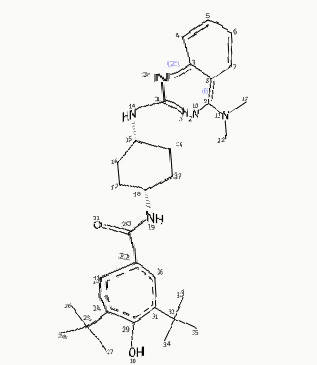 C=C(/N=C1/C=CC=C/C1=C(/N)N(C)C)N[C@H]1CC[C@@H](NC(=O)c2cc(C(C)(C)C)c(O)c(C(C)(C)C)c2)CC1